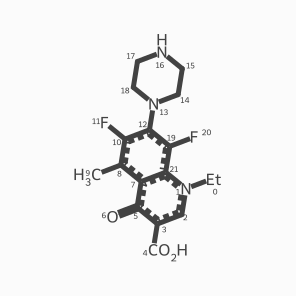 CCn1cc(C(=O)O)c(=O)c2c(C)c(F)c(N3CCNCC3)c(F)c21